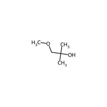 COCC(C)(C)O